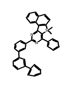 C[Si]1(C)c2ccc3ccccc3c2-c2nc(-c3cccc(-c4cccc(-c5ccccc5)c4)c3)nc(-c3ccccc3)c21